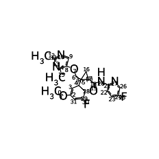 COC1=CC([C@]2(COc3cnc(C)nc3C)C[C@H]2C(=O)Nc2ccc(F)cn2)CC(F)=C1